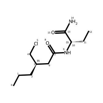 CCC[C@@H](CCl)CC(=O)N[C@@H](CC)C(N)=O